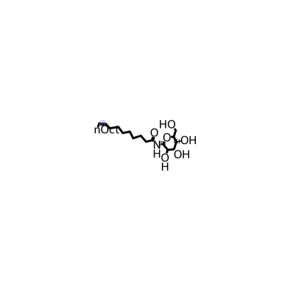 CCCCCCCC/C=C\CCCCCCCC(=O)N[C@@H]1OC(CO)[C@@H](O)C(O)C1O